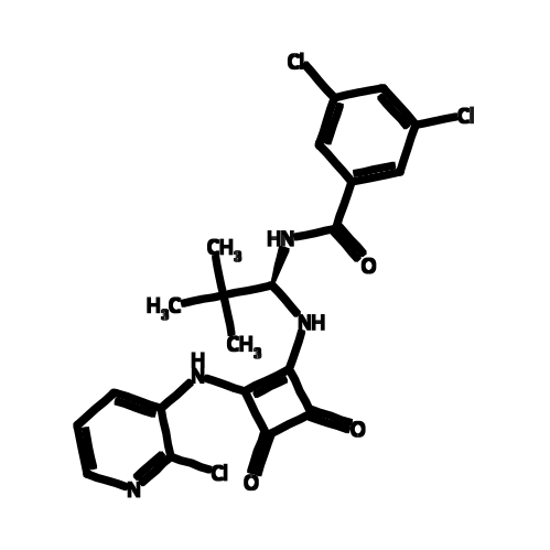 CC(C)(C)[C@@H](NC(=O)c1cc(Cl)cc(Cl)c1)Nc1c(Nc2cccnc2Cl)c(=O)c1=O